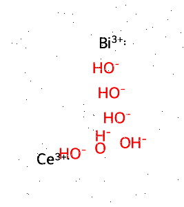 [Bi+3].[Ce+3].[OH-].[OH-].[OH-].[OH-].[OH-].[OH-]